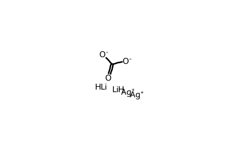 O=C([O-])[O-].[Ag+].[Ag+].[LiH].[LiH]